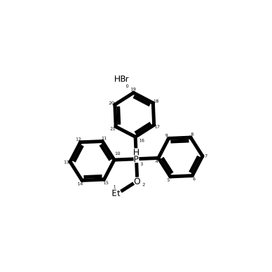 Br.CCO[PH](c1ccccc1)(c1ccccc1)c1ccccc1